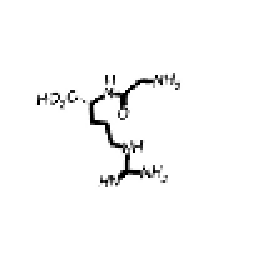 N=C(N)NCCC[C@@H](NC(=O)CN)C(=O)O